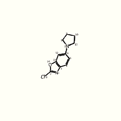 Clc1nc2ccc(N3CCCC3)cc2o1